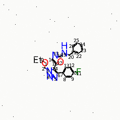 CCOCn1nnc(-c2ccc(F)cc2)c1-c1cnc(NCc2ccccc2)o1